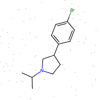 CC(C)N1CCC(c2ccc(Br)cc2)C1